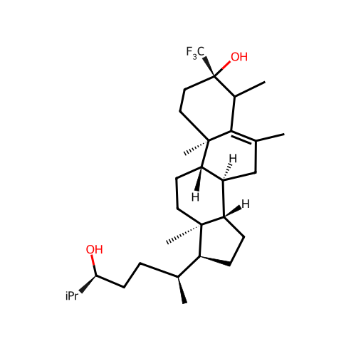 CC1=C2C(C)[C@](O)(C(F)(F)F)CC[C@]2(C)[C@H]2CC[C@@]3(C)[C@@H](CC[C@H]3[C@@H](C)CC[C@H](O)C(C)C)[C@@H]2C1